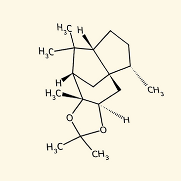 C[C@H]1CC[C@H]2C(C)(C)[C@@H]3C[C@@]12C[C@H]1OC(C)(C)O[C@@]13C